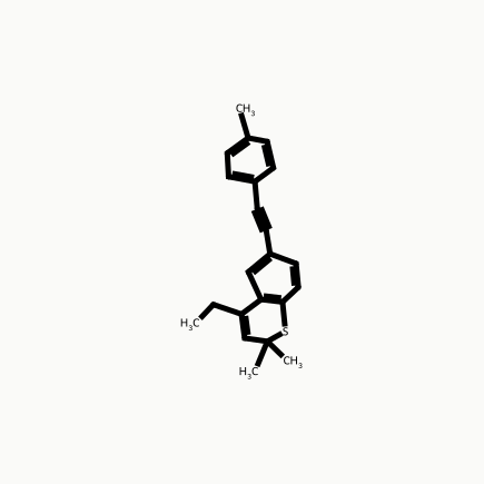 CCC1=CC(C)(C)Sc2ccc(C#Cc3ccc(C)cc3)cc21